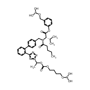 CCCCC(=O)N(Cc1ccc(-c2ccccc2-c2nnn(C(C)OC(=O)OCCCCON(O)O)n2)cc1)[C@H](C(=O)Oc1cccc(CON(O)O)c1)C(C)C